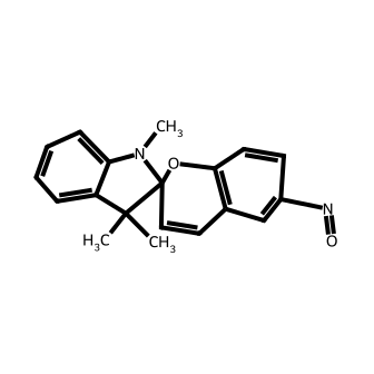 CN1c2ccccc2C(C)(C)C12C=Cc1cc(N=O)ccc1O2